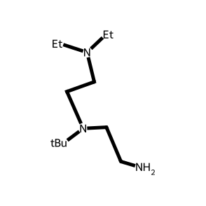 CCN(CC)CCN(CCN)C(C)(C)C